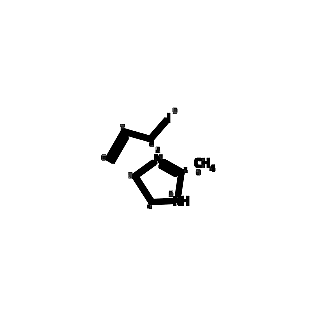 C.C1=NCCN1.C=CCI